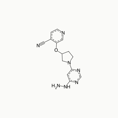 N#Cc1ccncc1OC1CCN(c2cc(NN)ncn2)C1